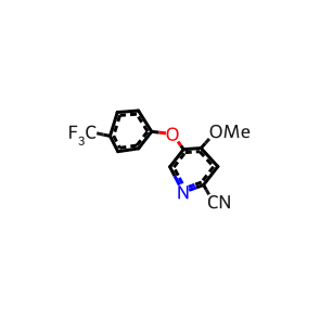 COc1cc(C#N)ncc1Oc1ccc(C(F)(F)F)cc1